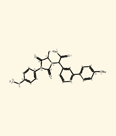 CNC(=O)C(c1ccnc(-c2ccc(OC)cc2)c1)N1C(=O)N(c2ccc(SC(F)(F)F)cc2)C(=O)C1C